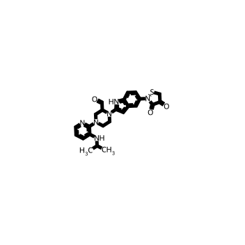 CC(C)Nc1cccnc1N1CCN(c2cc3cc(N4SCC(=O)C4=O)ccc3[nH]2)C(C=O)C1